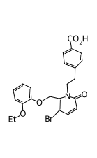 CCOc1ccccc1OCc1c(Br)ccc(=O)n1CCc1ccc(C(=O)O)cc1